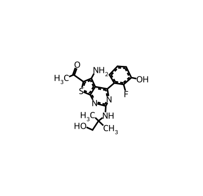 CC(=O)c1sc2nc(NC(C)(C)CO)nc(-c3cccc(O)c3F)c2c1N